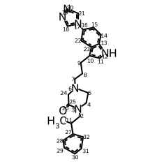 CC(CN1CCN(CCCc2c[nH]c3ccc(-n4cnnc4)cc23)CC1=O)c1ccccc1